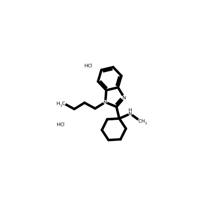 CCCCn1c(C2(NC)CCCCC2)nc2ccccc21.Cl.Cl